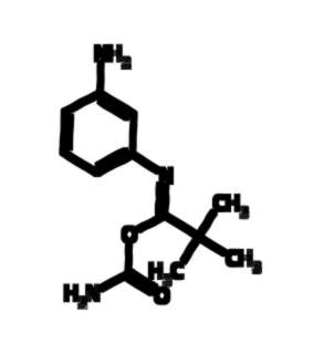 CC(C)(C)C(=Nc1cccc(N)c1)OC(N)=O